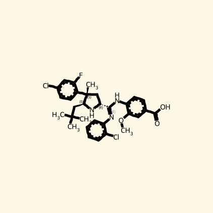 COc1cc(C(=O)O)ccc1N/C(=N/c1ccccc1Cl)[C@H]1C[C@@](C)(c2ccc(Cl)cc2F)[C@H](CC(C)(C)C)N1